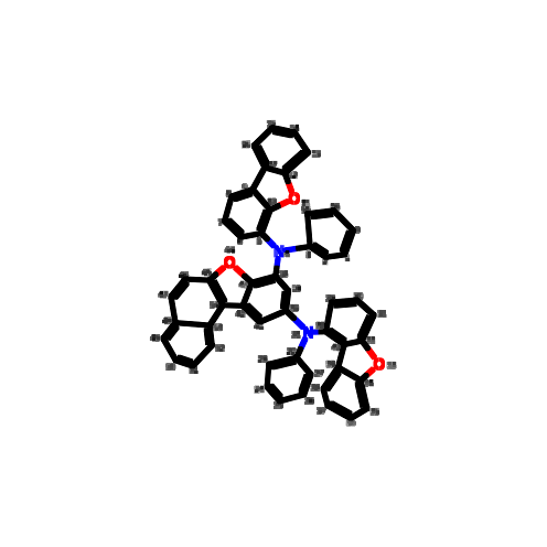 c1ccc(N(c2cccc3c2oc2ccccc23)c2cc(N(c3ccccc3)c3cccc4oc5ccccc5c34)cc3c2oc2ccc4ccccc4c23)cc1